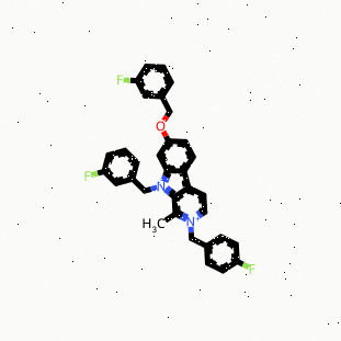 Cc1c2c(cc[n+]1Cc1ccc(F)cc1)c1ccc(OCc3cccc(F)c3)cc1n2Cc1cccc(F)c1